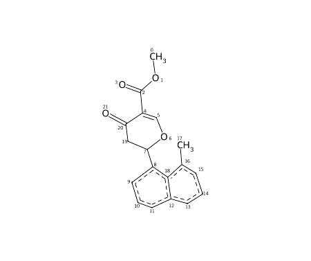 COC(=O)C1=COC(c2cccc3cccc(C)c23)CC1=O